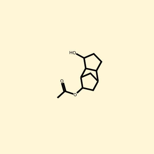 CC(=O)OC1CC2CC1C1C(O)CCC21